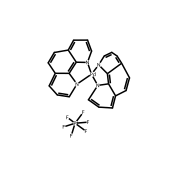 C1=C[N]2c3c4c(ccc3=C1)=CC=C[N]4[Pd]21[N]2C=CC=c3ccc4c(c32)[N]1C=CC=4.F[P-](F)(F)(F)(F)F